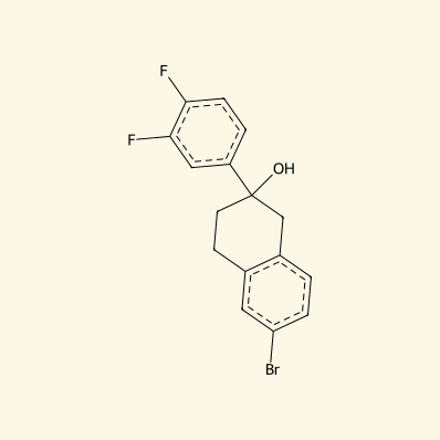 OC1(c2ccc(F)c(F)c2)CCc2cc(Br)ccc2C1